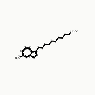 CCCCCCCCCCCCCCCCCCCCc1ccc2cc(C)cccc1-2